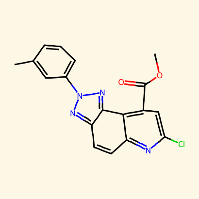 COC(=O)c1cc(Cl)nc2ccc3nn(-c4cccc(C)c4)nc3c12